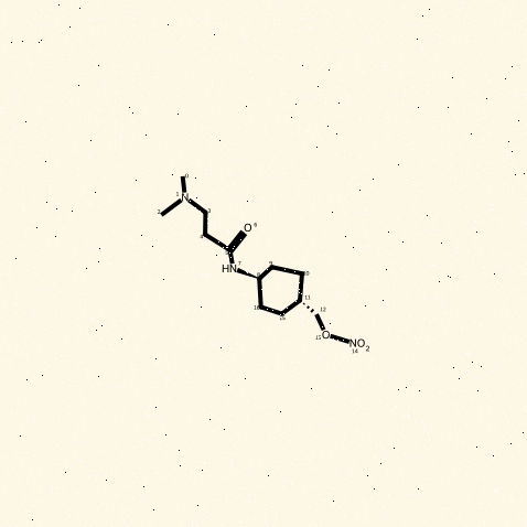 CN(C)CCC(=O)N[C@H]1CC[C@H](CO[N+](=O)[O-])CC1